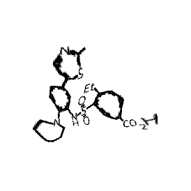 CCc1ccc(C(=O)O)cc1S(=O)(=O)Nc1cc(-c2cnc(C)s2)ccc1N1CCCCC1